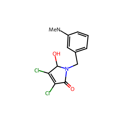 CNc1cccc(CN2C(=O)C(Cl)=C(Cl)C2O)c1